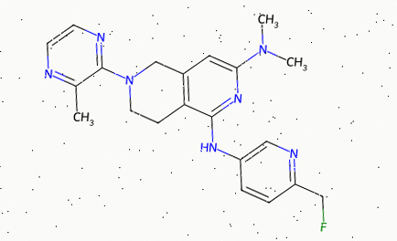 Cc1nccnc1N1CCc2c(cc(N(C)C)nc2Nc2ccc(CF)nc2)C1